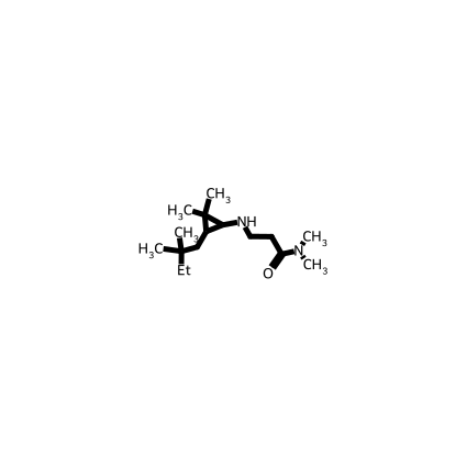 CCC(C)(C)CC1C(NCCC(=O)N(C)C)C1(C)C